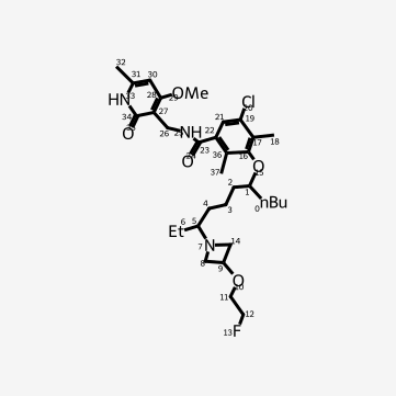 CCCCC(CCCC(CC)N1CC(OCCF)C1)Oc1c(C)c(Cl)cc(C(=O)NCc2c(OC)cc(C)[nH]c2=O)c1C